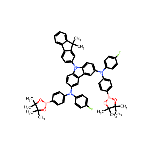 CC1(C)c2ccccc2-c2ccc(-n3c4ccc(N(c5ccc(F)cc5)c5ccc(B6OC(C)(C)C(C)(C)O6)cc5)cc4c4cc(N(c5ccc(F)cc5)c5ccc(B6OC(C)(C)C(C)(C)O6)cc5)ccc43)cc21